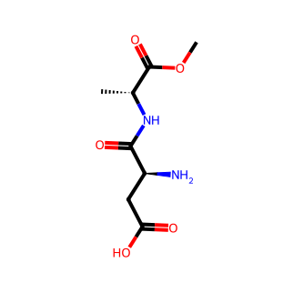 COC(=O)[C@@H](C)NC(=O)[C@@H](N)CC(=O)O